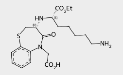 CCOC(=O)[C@H](CCCCCN)N[C@H]1CSc2ccccc2N(CC(=O)O)C1=O